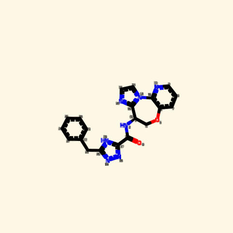 O=C(N[C@@H]1COc2cccnc2-n2ccnc21)c1nnc(Cc2ccccc2)[nH]1